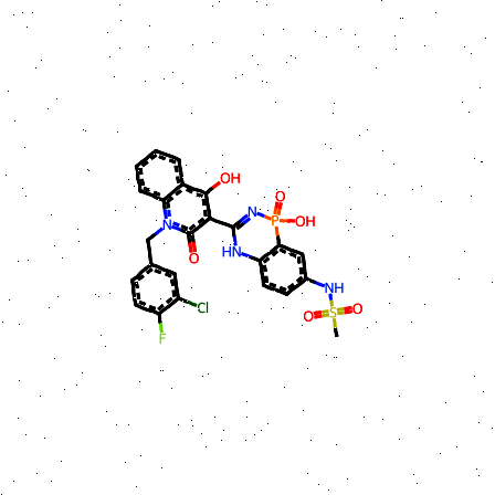 CS(=O)(=O)Nc1ccc2c(c1)P(=O)(O)N=C(c1c(O)c3ccccc3n(Cc3ccc(F)c(Cl)c3)c1=O)N2